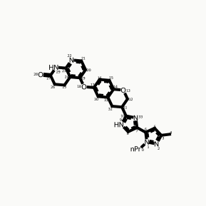 CCCn1nc(C)cc1-c1c[nH]c(C2COc3ccc(Oc4ccnc5c4CCC(=O)N5)cc3C2)n1